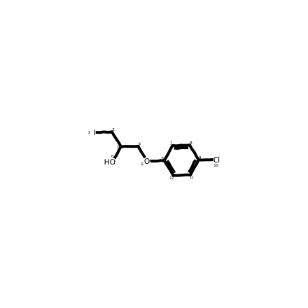 OC(CI)COc1ccc(Cl)cc1